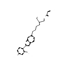 C=CC(=O)OCC(CO)CCCCc1ccc2cc(-c3ccc(C)cc3OC(F)(F)F)oc2c1